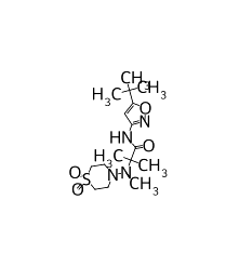 CN(N1CCS(=O)(=O)CC1)C(C)(C)C(=O)Nc1cc(C(C)(C)C)on1